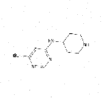 CC(C)(C)c1cc(NC2CCNCC2)ncn1